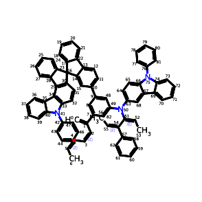 C=C(/C=C\C=C/C)c1cc(-c2ccc3c(c2)C2(c4ccccc4-3)c3ccccc3-c3c2ccc2c3c3ccccc3n2-c2ccccc2)cc(N(C(=C/C)/C(=C\C)c2ccccc2)c2ccc3c(c2)c2ccccc2n3-c2ccccc2)c1